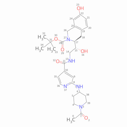 CC(=O)N1CCC(Nc2cc(C(=O)NC[C@@H](O)[C@@H]3Cc4ccc(O)cc4CN3C(=O)OC(C)(C)C)ccn2)CC1